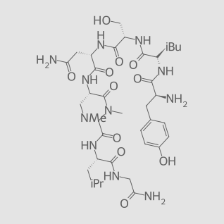 CC[C@H](C)[C@H](NC(=O)[C@@H](N)Cc1ccc(O)cc1)C(=O)N[C@@H](CO)C(=O)N[C@@H](CC(N)=O)C(=O)N[C@@H](CNC)C(=O)N(C)CC(=O)N[C@@H](CC(C)C)C(=O)NCC(N)=O